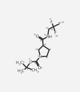 CC(C)(C)OC(=O)N1CCC(C(=O)NCC(F)(F)F)C1